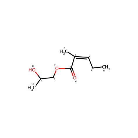 CCC=C(C)C(=O)OCC(C)O